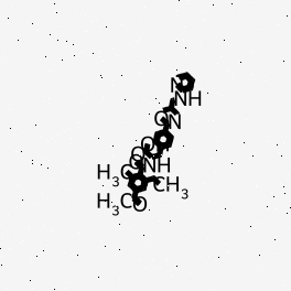 CCc1cc(C(C)=O)cc(C)c1C(=O)NC(Cc1ccc(C2=NCC(CNc3ccccn3)CO2)cc1)C(=O)O